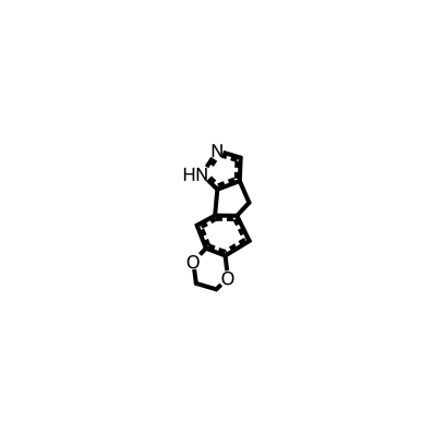 c1n[nH]c2c1Cc1cc3c(cc1-2)OCCO3